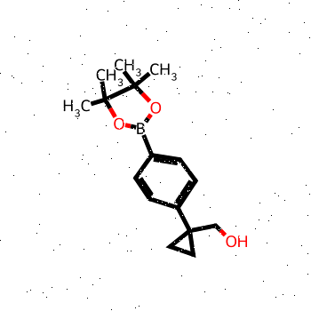 CC1(C)OB(c2ccc(C3(CO)CC3)cc2)OC1(C)C